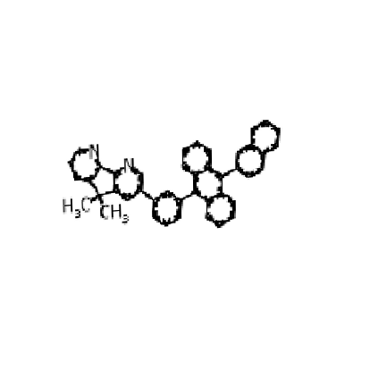 CC1(C)c2cccnc2-c2ncc(-c3cccc(-c4c5ccccc5c(-c5ccc6ccccc6c5)c5ccccc45)c3)cc21